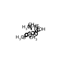 COc1ccc(CN2CCC3(C[C@H]2C#C[Si](C)(C)C)OCCc2c3sc(C(F)(F)F)c2CO)c(OC)c1